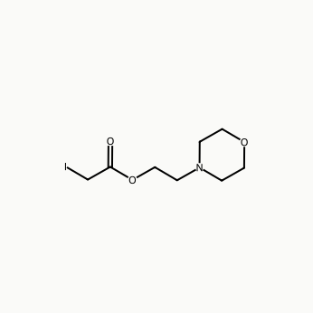 O=C(CI)OCCN1CCOCC1